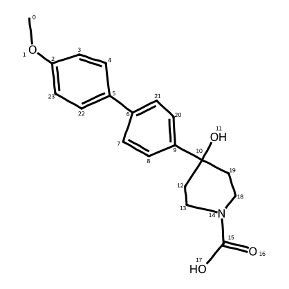 COc1ccc(-c2ccc(C3(O)CCN(C(=O)O)CC3)cc2)cc1